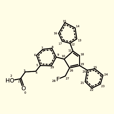 O=C(O)CCc1cccc(C2C(c3ccccc3)=CC(c3ccccc3)=C2CF)c1